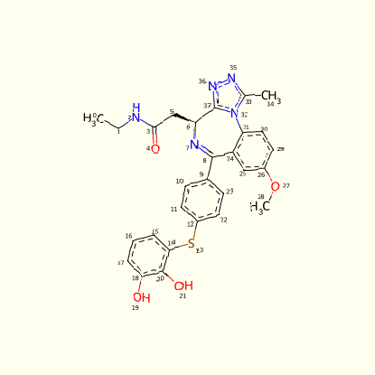 CCNC(=O)C[C@@H]1N=C(c2ccc(Sc3cccc(O)c3O)cc2)c2cc(OC)ccc2-n2c(C)nnc21